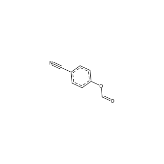 N#Cc1ccc(O[C]=O)cc1